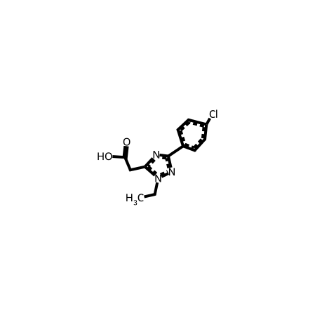 CCn1nc(-c2ccc(Cl)cc2)nc1CC(=O)O